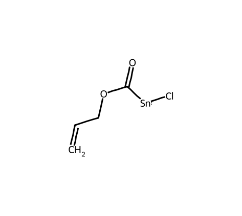 C=CCO[C](=O)[Sn][Cl]